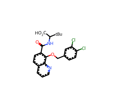 CC(C)(C)C(NC(=O)c1ccc2cccnc2c1OCc1ccc(Cl)c(Cl)c1)C(=O)O